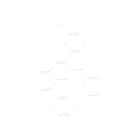 Nc1cccc(C2=Cc3cccc(-c4ccccc4)c3CN2Cc2ccccn2)c1